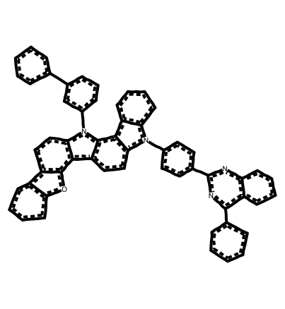 c1ccc(-c2cccc(-n3c4ccc5c6ccccc6oc5c4c4ccc5c(c6ccccc6n5-c5ccc(-c6nc(-c7ccccc7)c7ccccc7n6)cc5)c43)c2)cc1